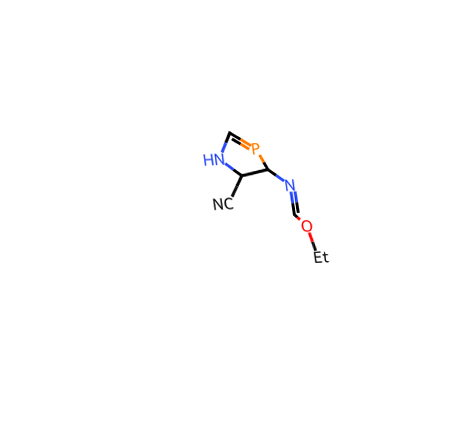 CCOC=NC1P=CNC1C#N